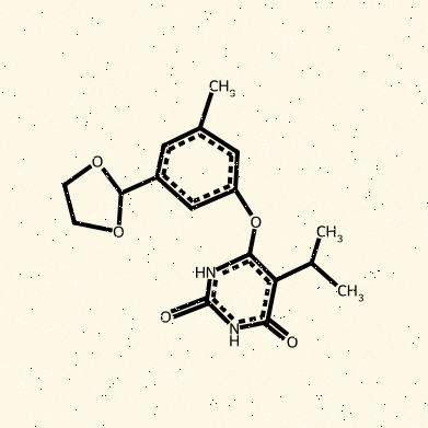 Cc1cc(Oc2[nH]c(=O)[nH]c(=O)c2C(C)C)cc(C2OCCO2)c1